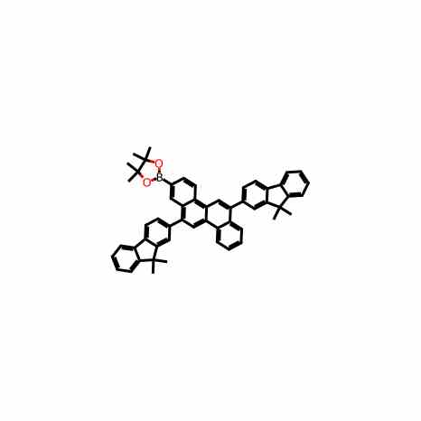 CC1(C)c2ccccc2-c2ccc(-c3cc4c5ccc(B6OC(C)(C)C(C)(C)O6)cc5c(-c5ccc6c(c5)C(C)(C)c5ccccc5-6)cc4c4ccccc34)cc21